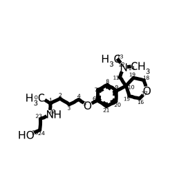 CC(CCCOc1ccc(C2(CN(C)C)CCOCC2)cc1)NCCO